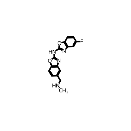 CNCc1ccc2oc(Nc3nc4cc(F)ccc4o3)nc2c1